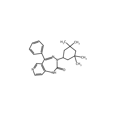 CC1(C)CC(N2N=C(c3ccccc3)c3cnccc3NC2=O)CC(C)(C)C1